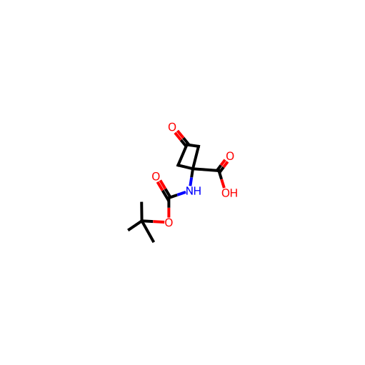 CC(C)(C)OC(=O)NC1(C(=O)O)CC(=O)C1